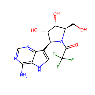 Nc1ncnc2c([C@H]3[C@H](O)[C@H](O)[C@@H](CO)N3C(=O)C(F)(F)F)c[nH]c12